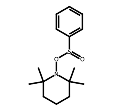 CC1(C)CCCC(C)(C)N1OS(=O)c1ccccc1